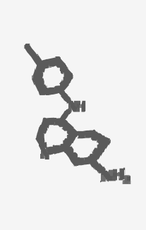 Cc1ccc(Nc2ccnc3cc(N)ccc23)cc1